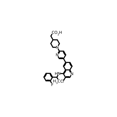 CC(Nc1c(Cl)cnc2ccc(-c3ccc(N4CCC(CC(=O)O)CC4)nc3)cc12)c1ccccc1F